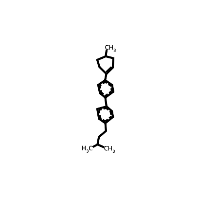 CC(C)CCc1ccc(-c2ccc(C3=CCC(C)CC3)cc2)cc1